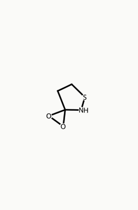 C1CC2(NS1)OO2